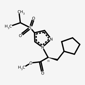 COC(=O)[C@H](CC1CCCC1)n1cc(S(=O)(=O)C(C)C)cn1